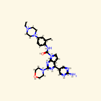 CCN1CCN(c2ccc(NC(=O)n3ccc4c(-c5cnc(N)nc5)nc(N5CCOCC5)nc43)c(C)c2)CC1